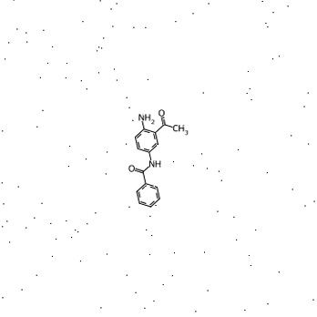 CC(=O)c1cc(NC(=O)c2ccccc2)ccc1N